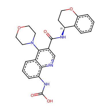 O=C(O)Nc1cccc2c(N3CCOCC3)c(C(=O)N[C@H]3CCOc4ccccc43)cnc12